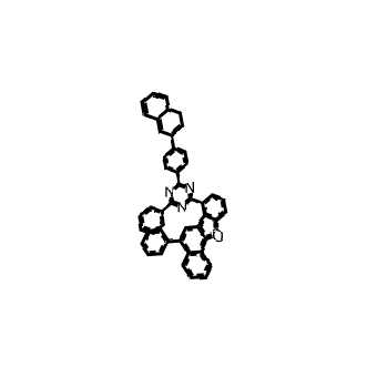 C1=CC2=CC(c3ccc(-c4nc(-c5ccccc5)nc(-c5cccc6oc7c8ccccc8c(-c8ccccc8)cc7c56)n4)cc3)=CCC2C=C1